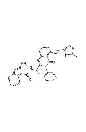 Cc1ncc(/C=C/c2cccc3nc(C(C)NC(=O)c4c(N)nn5cccnc45)n(-c4ccccc4)c(=O)c23)n1C